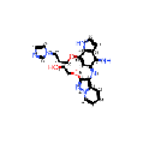 N=C1C(=Nc2c(OCCO)nn3ccccc23)C=C(OCCCn2ccnc2)c2[nH]ccc21